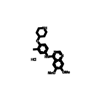 COc1cc2ncnc(Nc3ccc(OC4CCNCC4)c(C)c3)c2cc1OC.Cl